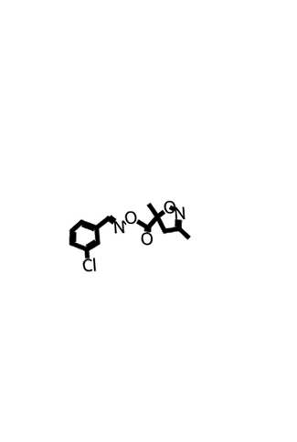 CC1=NOC(C)(C(=O)O/N=C/c2cccc(Cl)c2)C1